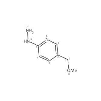 COCc1ccc(NN)nc1